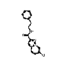 O=C(NCCc1ccccc1)c1cc2ccc(Cl)cn2n1